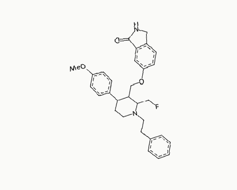 COc1ccc(C2CCN(CCc3ccccc3)C(CF)C2COc2ccc3c(c2)C(=O)NC3)cc1